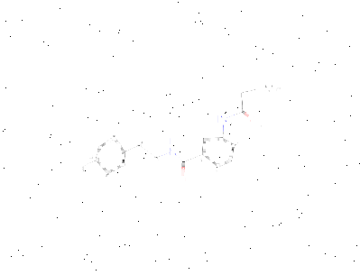 CSCC(=O)Nc1cccc(C(=O)NCCc2ccc(C)cc2)c1